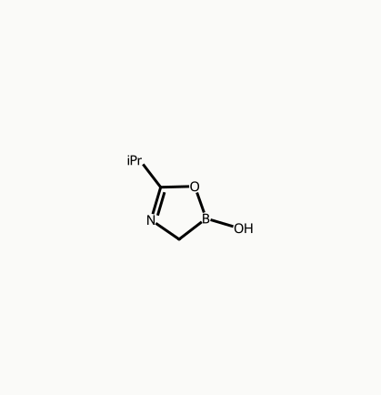 CC(C)C1=NCB(O)O1